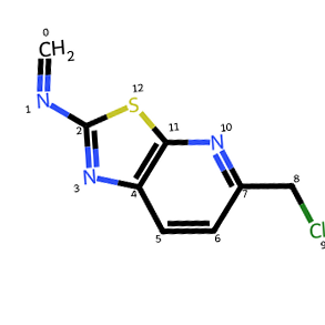 C=Nc1nc2ccc(CCl)nc2s1